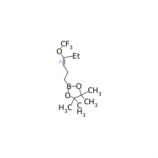 CC/C(=C\CCB1OC(C)(C)C(C)(C)O1)OC(F)(F)F